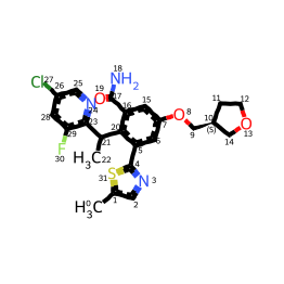 Cc1cnc(-c2cc(OC[C@H]3CCOC3)cc(C(N)=O)c2C(C)c2ncc(Cl)cc2F)s1